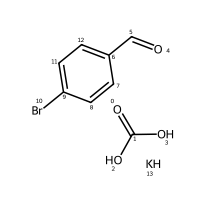 O=C(O)O.O=Cc1ccc(Br)cc1.[KH]